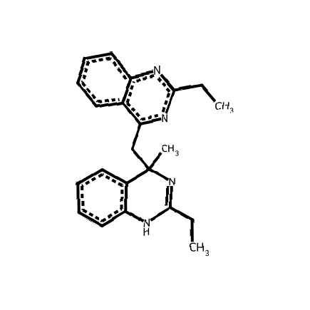 CCC1=NC(C)(Cc2nc(CC)nc3ccccc23)c2ccccc2N1